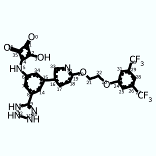 O=c1c(O)c(Nc2cc(C3=NNNN3)cc(-c3ccc(OCCOc4cc(C(F)(F)F)cc(C(F)(F)F)c4)nc3)c2)c1=O